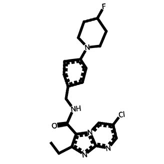 CCc1nc2ncc(Cl)cn2c1C(=O)NCc1ccc(N2CCC(F)CC2)cc1